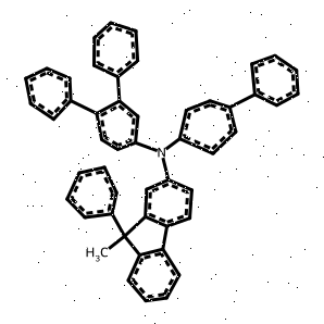 CC1(c2ccccc2)c2ccccc2-c2ccc(N(c3ccc(-c4ccccc4)cc3)c3ccc(-c4ccccc4)c(-c4ccccc4)c3)cc21